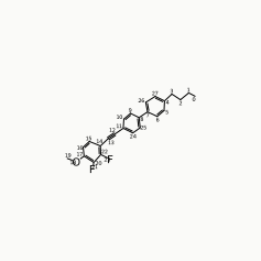 CCCCc1ccc(-c2ccc(C#Cc3ccc(OC)c(F)c3F)cc2)cc1